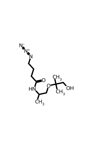 CC(COC(C)(C)CO)NC(=O)CCCN=[N+]=[N-]